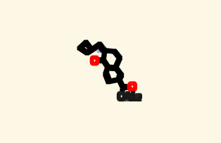 COC(=O)c1ccc2c(c1)CC/C(=C/C1CCC1)C2=O